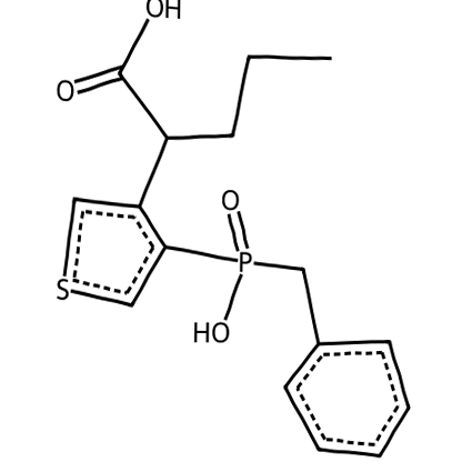 CCCC(C(=O)O)c1cscc1P(=O)(O)Cc1ccccc1